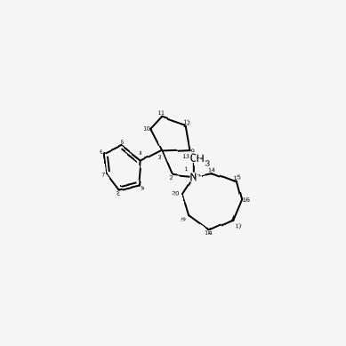 C[N+]1(CC2(c3ccccc3)CCCC2)CCCCCCC1